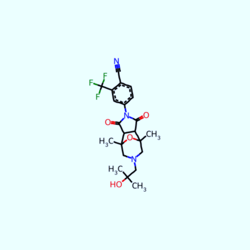 CC(C)(O)CN1CC2(C)OC(C)(C1)C1C(=O)N(c3ccc(C#N)c(C(F)(F)F)c3)C(=O)C12